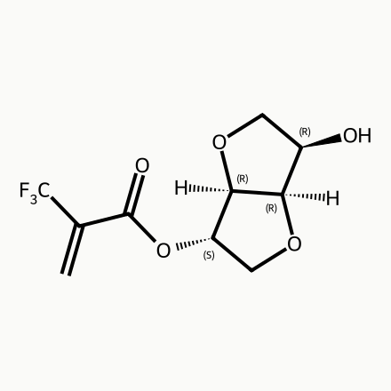 C=C(C(=O)O[C@H]1CO[C@H]2[C@@H]1OC[C@H]2O)C(F)(F)F